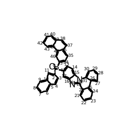 O=P(c1ccc2ccccc2c1)(c1ccc2c(c1)nc1c3ccccc3c3ccccc3n21)c1ccc2ccc3ccccc3c2c1